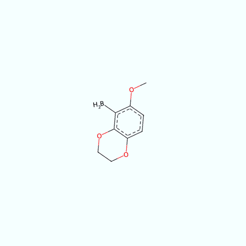 Bc1c(OC)ccc2c1OCCO2